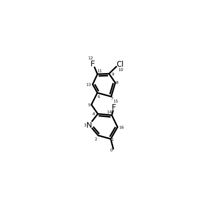 Cc1cnc(Cc2ccc(Cl)c(F)c2)c(F)c1